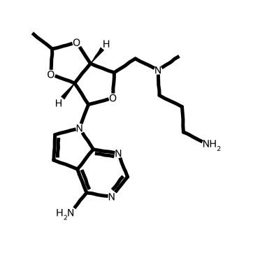 CC1O[C@@H]2C(CN(C)CCCN)OC(n3ccc4c(N)ncnc43)[C@@H]2O1